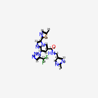 Cc1ncc(CNC(=O)c2cc(-n3nncc3C(F)F)c3ncc(-c4ncc(C)s4)n3c2)cn1